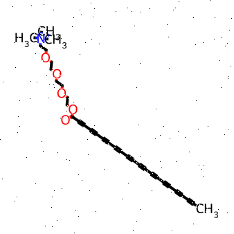 CC#CC#CC#CC#CC#CC#CC#CC#CC#CC#CC(=O)OCCOCCOCCOCC[N+](C)(C)C